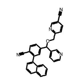 N#Cc1ccc(COC(c2cccnc2)c2ccc(C#N)c(-c3cccc4ccccc34)c2)nc1